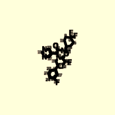 O=C(NC1CCC(F)(F)CC1)[C@@H](c1cncnc1)N(CCc1cccc(F)c1)C(=O)[C@H](F)Cl